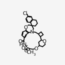 CC1COC2CCOC(C2)C2CCC2CN2CC3(CCCc4cc(Cl)ccc43)COc3ccc(cc32)C(=O)NS1(=O)=O